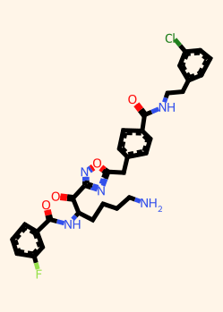 NCCCCC(NC(=O)c1cccc(F)c1)C(=O)c1noc(Cc2ccc(C(=O)NCCc3cccc(Cl)c3)cc2)n1